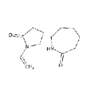 C=CN1CCCC1=O.O=C1CCCCCN1